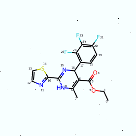 CCOC(=O)C1=C(C)NC(c2nccs2)=NC1c1ccc(F)c(F)c1F